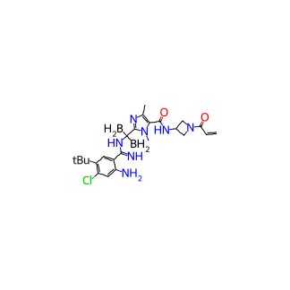 BC(B)(NC(=N)c1cc(C(C)(C)C)c(Cl)cc1N)c1nc(C)c(C(=O)NC2CN(C(=O)C=C)C2)n1C